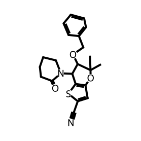 CC1(C)Oc2cc(C#N)sc2C(N2CCCCC2=O)C1OCc1ccccc1